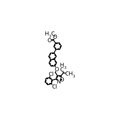 COC(=O)c1cccc(-c2ccc3ccc(OCc4c(-c5c(Cl)cccc5Cl)noc4C(C)C)cc3c2)c1